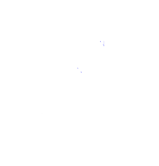 Cc1ccccc1-n1ccnc1C